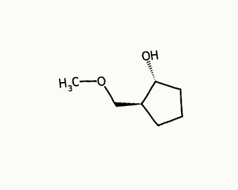 COC[C@@H]1CCC[C@H]1O